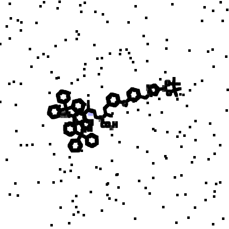 CC(Cc1cccc(Oc2cccc(Cn3cc(B4OC(C)(C)C(C)(C)O4)cn3)c2)c1)N(C/C=C(/I)c1cc(NC(c2ccccc2)(c2ccccc2)c2ccccc2)nc2c1nnn2C(c1ccccc1)(c1ccccc1)c1ccccc1)C(=O)O